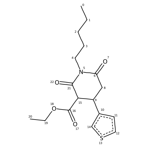 CCCCCN1C(=O)CC(c2ccsc2)C(C(=O)OCC)C1=O